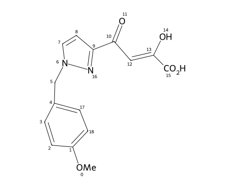 COc1ccc(Cn2ccc(C(=O)C=C(O)C(=O)O)n2)cc1